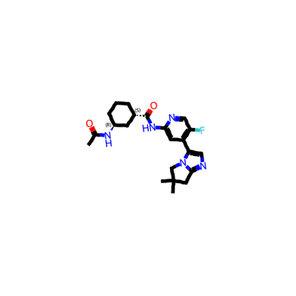 CC(=O)N[C@@H]1CCC[C@H](C(=O)Nc2cc(-c3cnc4n3CC(C)(C)C4)c(F)cn2)C1